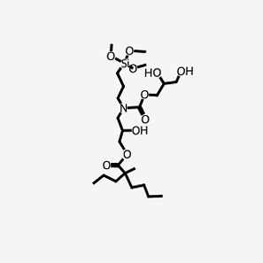 CCCCC(C)(CCC)C(=O)OCC(O)CN(CCC[Si](OC)(OC)OC)C(=O)OCC(O)CO